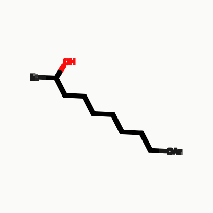 CCC(O)CCCCCCCOC(C)=O